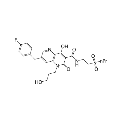 CCCS(=O)(=O)CCNC(=O)c1c(O)c2ncc(Cc3ccc(F)cc3)cc2n(CCCO)c1=O